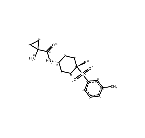 Cc1cccc(S(=O)(=O)[C@]2(F)CC[C@H](NC(=O)C3(C)CC3)CC2)c1